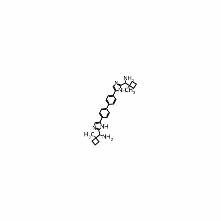 CC1([C@H](N)c2ncc(-c3ccc(-c4ccc(-c5cnc([C@@H](N)C6(C)CCC6)[nH]5)cc4)cc3)[nH]2)CCC1